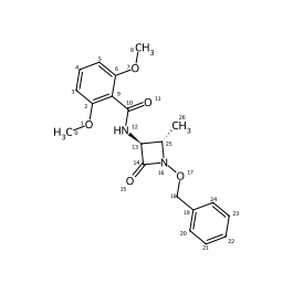 COc1cccc(OC)c1C(=O)N[C@@H]1C(=O)N(OCc2ccccc2)[C@H]1C